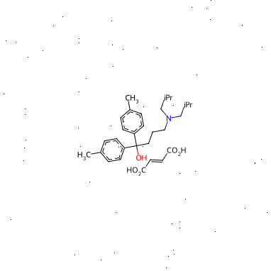 Cc1ccc(C(O)(CCCN(CC(C)C)CC(C)C)c2ccc(C)cc2)cc1.O=C(O)C=CC(=O)O